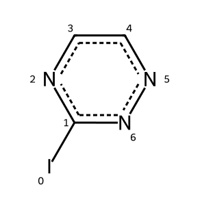 Ic1nccnn1